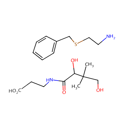 CC(C)(CO)C(O)C(=O)NCCC(=O)O.NCCSCc1ccccc1